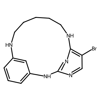 Brc1cnc2nc1NCCCCCNc1cccc(c1)N2